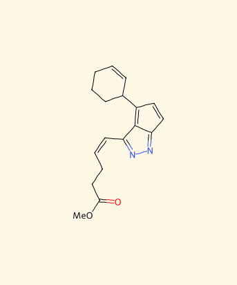 COC(=O)CC/C=C\C1=NN=C2C=CC(C3C=CCCC3)=C21